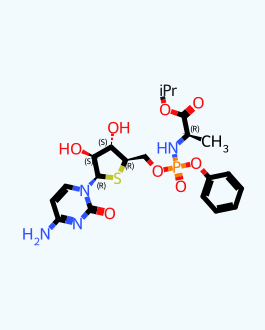 CC(C)OC(=O)[C@@H](C)NP(=O)(OC[C@H]1S[C@@H](n2ccc(N)nc2=O)[C@@H](O)[C@@H]1O)Oc1ccccc1